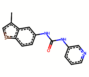 Cc1csc2ccc(NC(=O)Nc3cccnc3)cc12